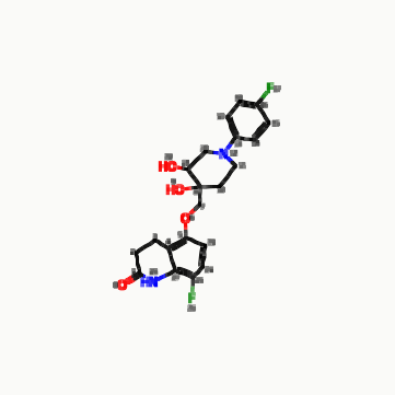 O=C1CCc2c(OCC3(O)CCN(c4ccc(F)cc4)CC3O)ccc(F)c2N1